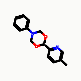 Cc1ccc(B2OCN(c3ccccc3)CO2)nc1